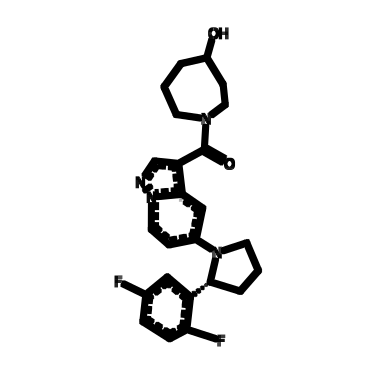 O=C(c1cnn2ccc(N3CCC[C@@H]3c3cc(F)ccc3F)cc12)N1CCCC(O)CC1